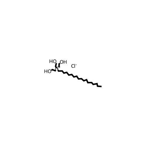 CCCCCCCCCCCCCCCCCC[N+](CCO)(CCO)CCO.[Cl-]